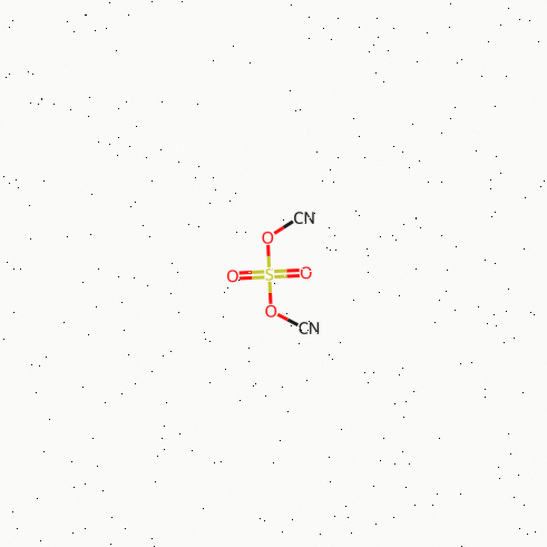 N#COS(=O)(=O)OC#N